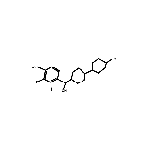 CCCC1CCC(C2CCC(C(O)c3ccc(OC)c(F)c3F)CC2)CC1